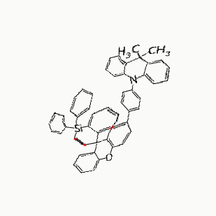 CC1(C)c2ccccc2N(c2ccc(-c3ccc4c(c3)C3(c5ccccc5O4)c4ccccc4[Si](c4ccccc4)(c4ccccc4)c4ccccc43)cc2)c2ccccc21